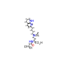 CCC(CC)CC(=O)NC(CCN(CCCCc1ccc2c(n1)NCCC2)C1CC1)C(=O)O